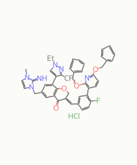 CCn1cc(-c2cc(Cn3ccn(C)c3=N)cc3c2OC/C(=C\c2ccc(F)c(-c4ccc(OCc5ccccc5)nc4OCc4ccccc4)c2)C3=O)c(C(F)(F)F)n1.Cl